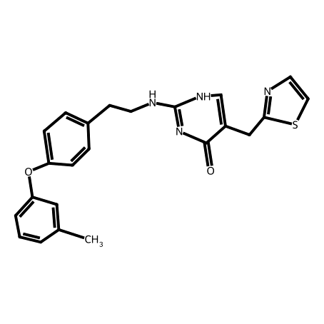 Cc1cccc(Oc2ccc(CCNc3nc(=O)c(Cc4nccs4)c[nH]3)cc2)c1